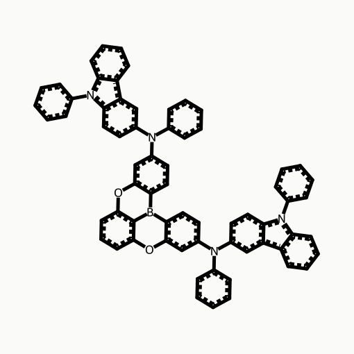 c1ccc(N(c2ccc3c(c2)Oc2cccc4c2B3c2ccc(N(c3ccccc3)c3ccc5c(c3)c3ccccc3n5-c3ccccc3)cc2O4)c2ccc3c(c2)c2ccccc2n3-c2ccccc2)cc1